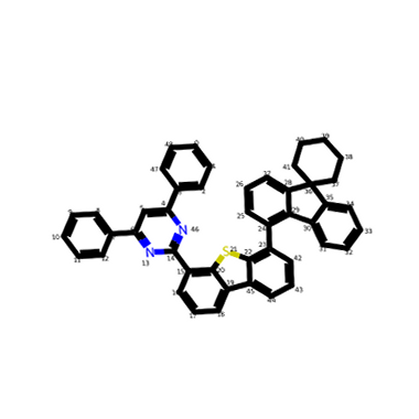 c1ccc(-c2cc(-c3ccccc3)nc(-c3cccc4c3sc3c(-c5cccc6c5-c5ccccc5C65CCCCC5)cccc34)n2)cc1